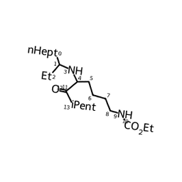 CCCCCCCC(CC)NC(CCCCNC(=O)OCC)C(=O)C(C)CCC